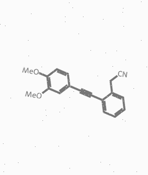 COc1ccc(C#Cc2ccccc2CC#N)cc1OC